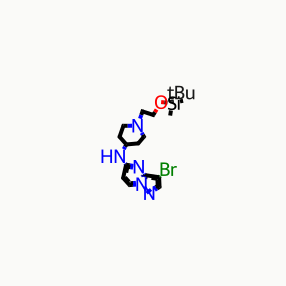 CC(C)(C)[Si](C)(C)OCCN1CCC(Nc2ccn3ncc(Br)c3n2)CC1